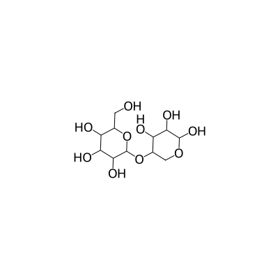 OCC1OC(OC2COC(O)C(O)C2O)C(O)C(O)C1O